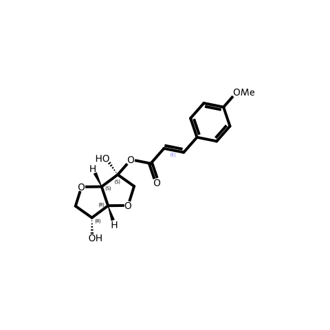 COc1ccc(/C=C/C(=O)O[C@@]2(O)CO[C@@H]3[C@H](O)CO[C@@H]32)cc1